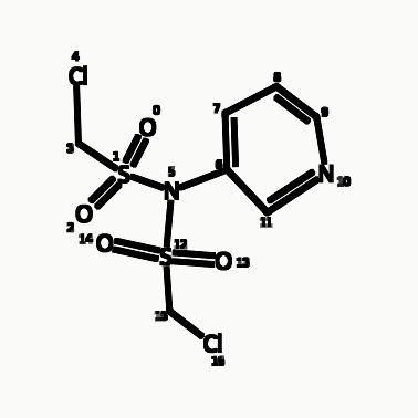 O=S(=O)(CCl)N(c1cccnc1)S(=O)(=O)CCl